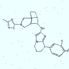 Cc1nsc(N2CC3C(Nc4nc5n(n4)CCCC5c4ccc(F)c(F)c4)C4CCC43C2)n1